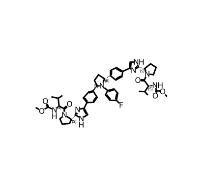 COC(=O)N[C@H](C(=O)N1CCC[C@H]1c1nc(-c2ccc([C@H]3CC[C@H](c4ccc(-c5c[nH]c([C@@H]6CCCN6C(=O)[C@@H](NC(=O)OC)C(C)C)n5)cc4)N3c3ccc(F)cc3)cc2)c[nH]1)C(C)C